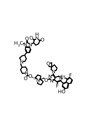 CCc1c(F)ccc2cc(O)cc(-c3ncc4c(N5CCCC6(COC6)C5)nc(OC[C@@]56CCCN5[C@H](COC(=O)N5CCC(CN7CCC(c8ccc9c(c8)n(C)c(=O)n9C8CCC(=O)NC8=O)CC7)CC5)CC6)nc4c3F)c12